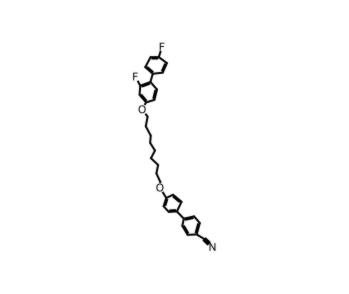 N#Cc1ccc(-c2ccc(OCCCCCCCCCOc3ccc(-c4ccc(F)cc4)c(F)c3)cc2)cc1